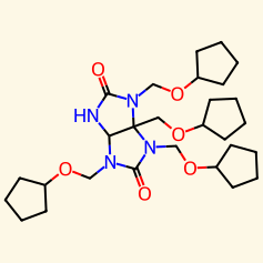 O=C1NC2N(COC3CCCC3)C(=O)N(COC3CCCC3)C2(COC2CCCC2)N1COC1CCCC1